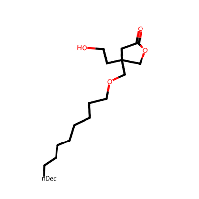 CCCCCCCCCCCCCCCCCCOCC1(CCO)COC(=O)C1